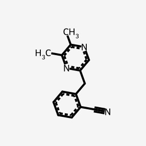 Cc1ncc(Cc2ccccc2C#N)nc1C